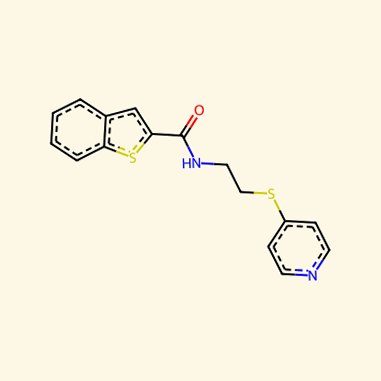 O=C(NCCSc1ccncc1)c1cc2ccccc2s1